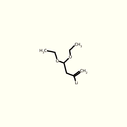 [Li][C](=C)CC(OCC)OCC